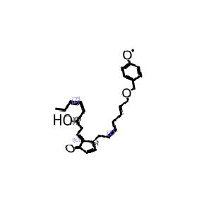 CC/C=C\C[C@@H](O)C/C=C1/C(=O)C=C[C@@H]1C/C=C\CCCCOCc1ccc(OC)cc1